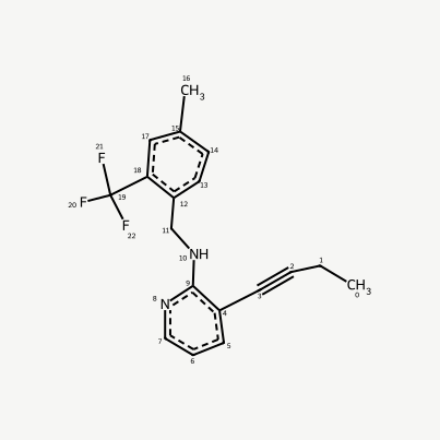 CCC#Cc1cccnc1NCc1ccc(C)cc1C(F)(F)F